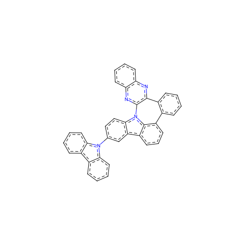 c1ccc2c(c1)-c1nc3ccccc3nc1-n1c3ccc(-n4c5ccccc5c5ccccc54)cc3c3cccc-2c31